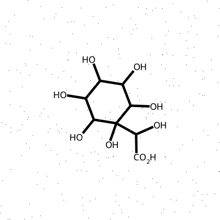 O=C(O)C(O)C1(O)C(O)C(O)C(O)C(O)C1O